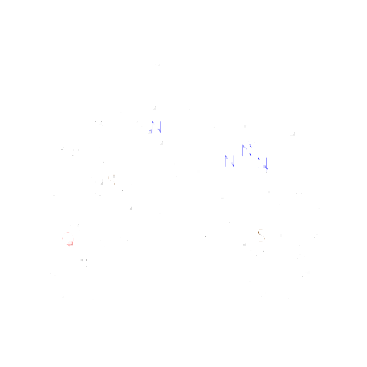 C1=CC2c3cc(N4c5ccc(S(c6ccccc6)(c6ccccc6)c6ccccc6)cc5N5C=CC=CN54)ccc3N(c3cccc(S(c4ccccc4)(c4ccccc4)c4ccc5c(c4)oc4ccccc45)c3)C2C=C1